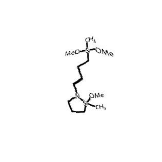 CO[Si](C)(CCCCN1CCC[Si]1(C)OC)OC